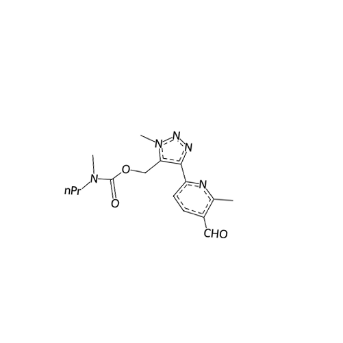 CCCN(C)C(=O)OCc1c(-c2ccc(C=O)c(C)n2)nnn1C